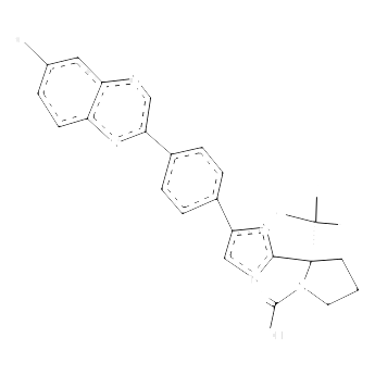 CC(C)(C)[C@]1(c2ncc(-c3ccc(-c4cnc5cc(Br)ccc5n4)cc3)[nH]2)CCCN1C(=O)O